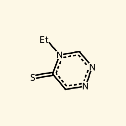 CCn1cnncc1=S